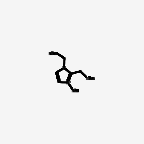 CCCCCCCCCCCc1n(CCCCCCCCCCC)cc[n+]1CCCC